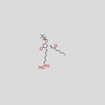 CCCCCC(=O)C=C[C@H]1[C@@H](O[Si](C)(C)C(C)(C)C)CC(=O)[C@@H]1CCCCCCC(=O)O